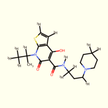 [2H]c1sc2c(c1[2H])c(O)c(C(=O)N([2H])C([2H])([2H])CC([2H])N1CCC([2H])([2H])CC1)c(=O)n2C([2H])(C)C([2H])([2H])[2H]